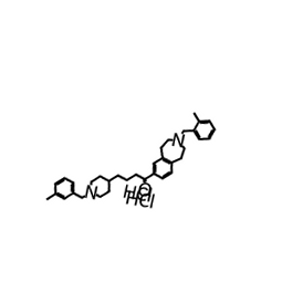 Cc1cccc(CN2CCC(CCCC(=O)c3ccc4c(c3)CCN(Cc3ccccc3C)CC4)CC2)c1.Cl.Cl